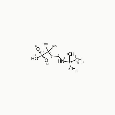 CC(C)(C)NCCC(F)(F)S(=O)(=O)O